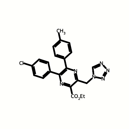 CCOC(=O)c1nc(-c2ccc(Cl)cc2)c(-c2ccc(C)cc2)nc1Cn1cnnn1